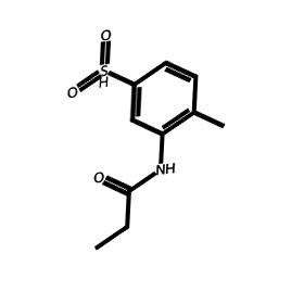 CCC(=O)Nc1cc([SH](=O)=O)ccc1C